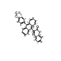 COc1ccc(-c2c3ccccc3c(C3=Nc4ccccc4CC3=O)c3ccccc23)cc1